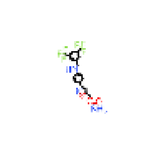 NC(=O)OCc1cc(-c2ccc(NCc3cc(C(F)(F)F)cc(C(F)(F)F)c3)cc2)no1